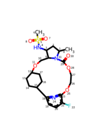 CC1CC(NS(C)(=O)=O)C2COC3CCC(CC3)c3ccc(F)c(n3)OCCOC(=O)N12